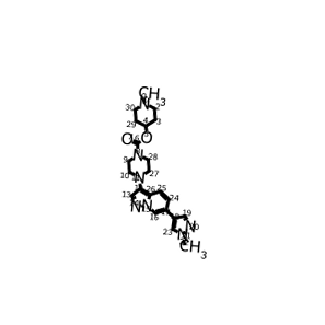 CN1CCC(OC(=O)N2CCN(c3cnn4cc(-c5cnn(C)c5)ccc34)CC2)CC1